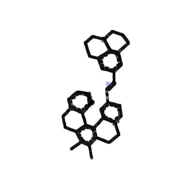 Cc1c(C)c2c(c3c1CC[n+]1ccc(/C=C/c4cc5c6c(c4)CCCN6CCC5)cc1-3)-c1c3ccccc3cc[n+]1CC2